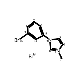 C[n+]1ccn(-c2cccc(Br)c2)c1.[Br-]